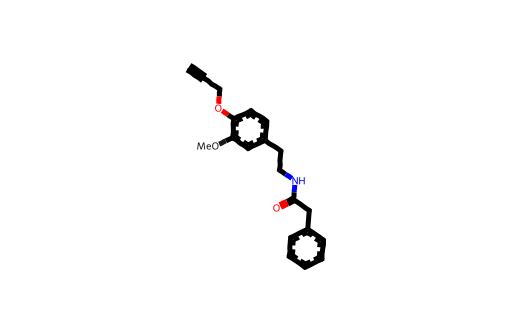 C#CCOc1ccc(CCNC(=O)Cc2ccccc2)cc1OC